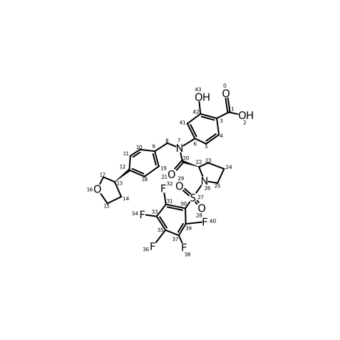 O=C(O)c1ccc(N(Cc2ccc([C@H]3CCOC3)cc2)C(=O)[C@H]2CCCN2S(=O)(=O)c2c(F)c(F)c(F)c(F)c2F)cc1O